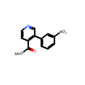 COC(=O)c1ccncc1-c1cccc([N+](=O)[O-])c1